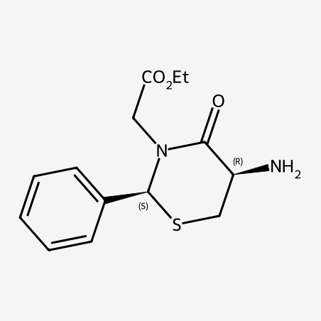 CCOC(=O)CN1C(=O)[C@@H](N)CS[C@H]1c1ccccc1